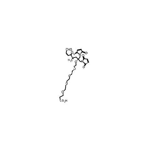 CN(CC(CN1C(=O)C=CC1=O)(CN1C(=O)C=CC1=O)OCCOCCOCCOCCOCCC(=O)O)C(=O)/C=C\C=O